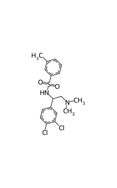 Cc1cccc(S(=O)(=O)NC(CN(C)C)c2ccc(Cl)c(Cl)c2)c1